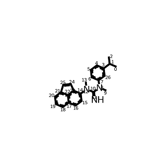 CC(C)c1cccc(N(C)C(=N)N(C)c2ccc3cccc4c3c2C=C4)c1